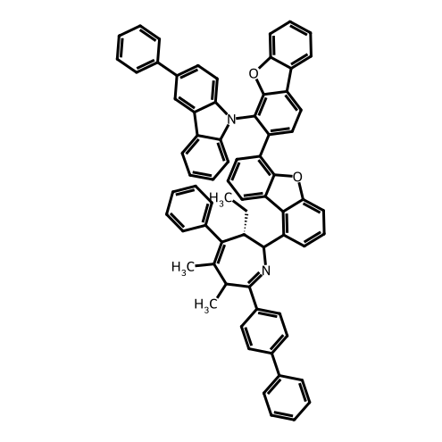 CC[C@H]1C(c2ccccc2)=C(C)C(C)C(c2ccc(-c3ccccc3)cc2)=NC1c1cccc2oc3c(-c4ccc5c(oc6ccccc65)c4-n4c5ccccc5c5cc(-c6ccccc6)ccc54)cccc3c12